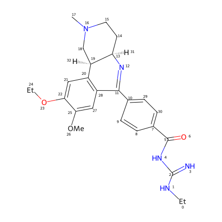 CCNC(=N)NC(=O)c1ccc(C2=N[C@@H]3CCN(C)C[C@@H]3c3cc(OCC)c(OC)cc32)cc1